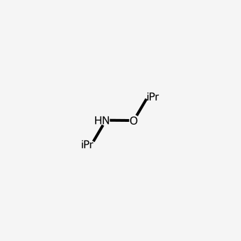 CC(C)NOC(C)C